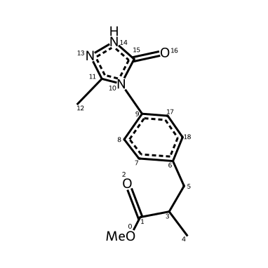 COC(=O)C(C)Cc1ccc(-n2c(C)n[nH]c2=O)cc1